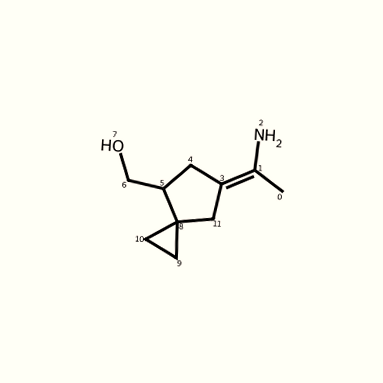 C/C(N)=C1/CC(CO)C2(CC2)C1